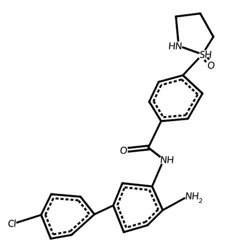 Nc1ccc(-c2ccc(Cl)cc2)cc1NC(=O)c1ccc([SH]2(=O)CCCN2)cc1